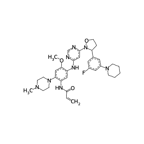 C=CC(=O)Nc1cc(Nc2cc(N3OCCC3c3cc(F)cc(N4CCCCC4)c3)ncn2)c(OC)cc1N1CCN(C)CC1